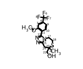 COc1cc(C(F)(F)F)ccc1-c1nnc2n1CCSC(C)(CO)C2